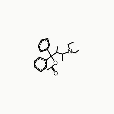 CCN(CC)C(C)C(C)C(OC(C)=O)(c1ccccc1)c1ccccc1